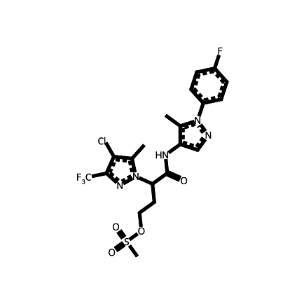 Cc1c(NC(=O)C(CCOS(C)(=O)=O)n2nc(C(F)(F)F)c(Cl)c2C)cnn1-c1ccc(F)cc1